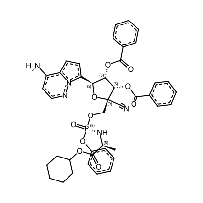 C[C@H](N[P@](=O)(OC[C@@]1(C#N)O[C@@H](c2ccc3c(N)ccnn23)[C@H](OC(=O)c2ccccc2)[C@@H]1OC(=O)c1ccccc1)Oc1ccccc1)C(=O)OC1CCCCC1